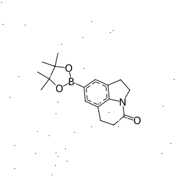 CC1(C)OB(c2cc3c4c(c2)CCN4C(=O)CC3)OC1(C)C